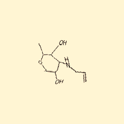 C=CCNC1C(O)[CH]OC(C)C1O